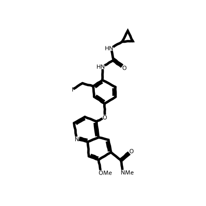 CNC(=O)c1cc2c(Oc3ccc(NC(=O)NC4CC4)c(CI)c3)ccnc2cc1OC